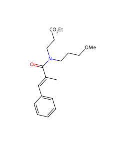 CCOC(=O)CCN(CCCOC)C(=O)/C(C)=C/c1ccccc1